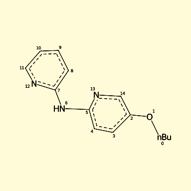 CCCCOc1ccc(Nc2ccccn2)nc1